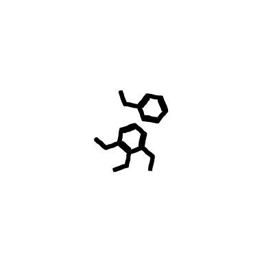 CCc1cccc(CC)c1CC.CCc1ccccc1